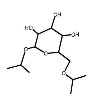 CC(C)OCC1OC(OC(C)C)C(O)C(O)C1O